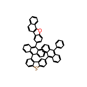 c1ccc(-c2c3ccccc3c(-c3ccc4sc5cccc(-c6c7ccccc7c(-c7ccc8oc9c%10ccccc%10ccc9c8c7)c7ccccc67)c5c4c3)c3ccccc23)cc1